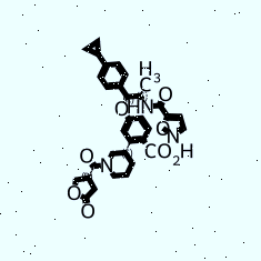 C[C@H](NC(=O)c1ccno1)[C@H](Oc1ccc(C(=O)O)c([C@@H]2CCCN(C(=O)[C@H]3COC(=O)C3)C2)c1)c1ccc(C2CC2)cc1